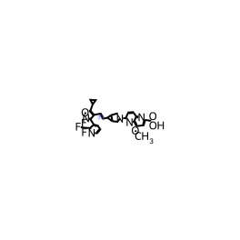 COc1cc(C(=O)O)nc2ccc(N3CC4C(/C=C/c5c(-c6cccnc6C(F)(F)F)noc5C5CC5)C4C3)nc12